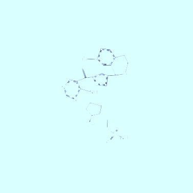 C[C@@]1(c2csc(C(=O)c3cncnc3N[C@@H]3C[C@H](COS(N)(=O)=O)[C@@H](O)C3)c2)OCCc2ccc(Cl)cc21